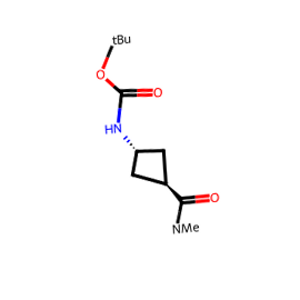 CNC(=O)[C@H]1C[C@H](NC(=O)OC(C)(C)C)C1